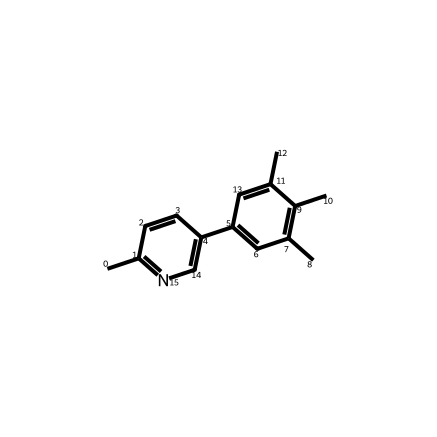 Cc1ccc(-c2cc(C)c(C)c(C)c2)cn1